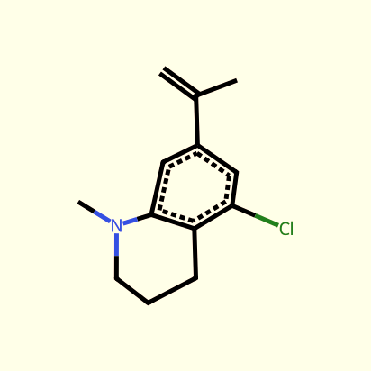 C=C(C)c1cc(Cl)c2c(c1)N(C)CCC2